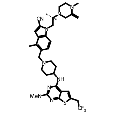 C=C1CN([C@@H](C)Cn2c(C#N)cc3c(C)c(CN4CCC(Nc5nc(NC)nc6sc(CC(F)(F)F)cc56)CC4)ccc32)CCN1C